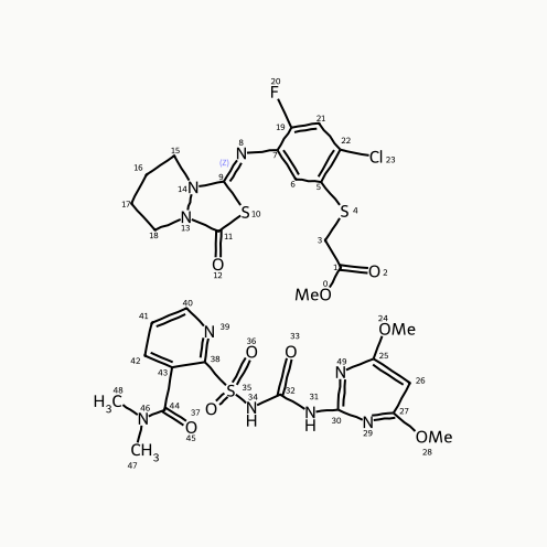 COC(=O)CSc1cc(/N=c2\sc(=O)n3n2CCCC3)c(F)cc1Cl.COc1cc(OC)nc(NC(=O)NS(=O)(=O)c2ncccc2C(=O)N(C)C)n1